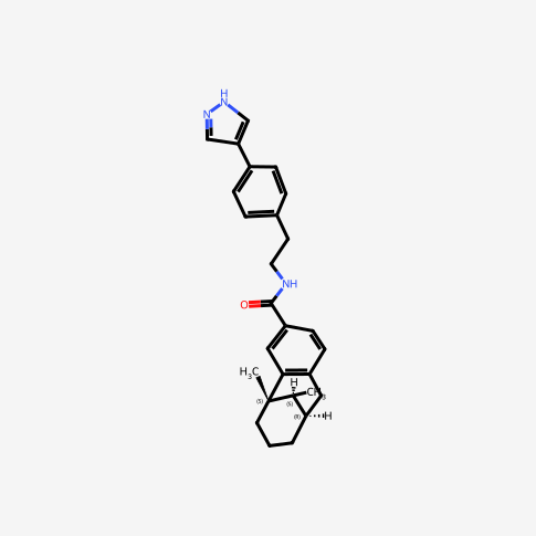 C[C@H]1[C@@H]2CCC[C@]1(C)c1cc(C(=O)NCCc3ccc(-c4cn[nH]c4)cc3)ccc1C2